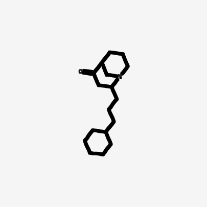 O=C1CC(CCCC2CCCCC2)N2CCCC1C2